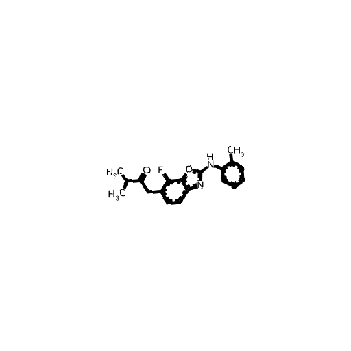 Cc1ccccc1Nc1nc2ccc(CC(=O)C(C)C)c(F)c2o1